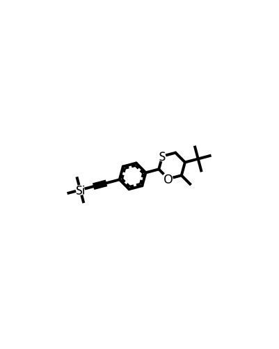 CC1OC(c2ccc(C#C[Si](C)(C)C)cc2)SCC1C(C)(C)C